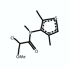 COC(Cl)C(=O)N(C)c1c(C)csc1C